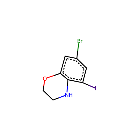 Brc1cc(I)c2c(c1)OCCN2